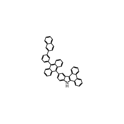 c1cc(-c2ccc3ccccc3c2)cc(-c2c3ccccc3c(-c3ccc4[nH]c5c6ccccc6c6ccccc6c5c4c3)c3ccccc23)c1